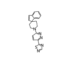 C1=CC2(CCN(c3ccc(-c4ncns4)nn3)CC2)c2ccccc21